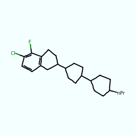 CCCC1CCC(C2CCC(C3CCc4c(ccc(Cl)c4F)C3)CC2)CC1